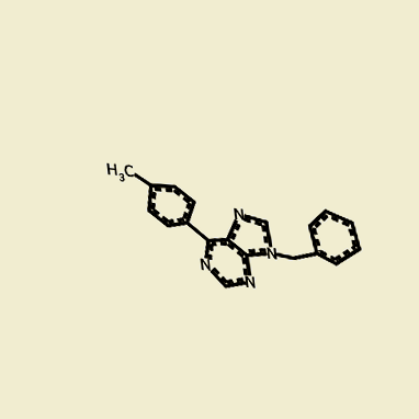 Cc1ccc(-c2ncnc3c2ncn3Cc2ccccc2)cc1